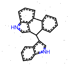 c1ccc2c(c1)-c1cccc3[nH]cc(c13)C2c1c[nH]c2ccccc12